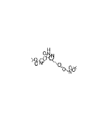 CC(C)OC(=O)c1cc2c(cn1)C[C@@]1(C2)C(=O)Nc2ncc(/C=C/COCCOCCN(C)C(=O)OC(C)(C)C)cc21